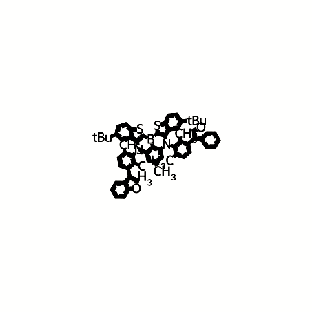 Cc1cc2c3c(c1)N(c1c(C)ccc(-c4coc5ccccc45)c1C)c1c(sc4ccc(C(C)(C)C)cc14)B3c1sc3ccc(C(C)(C)C)cc3c1N2c1c(C)ccc(-c2coc3ccccc23)c1C